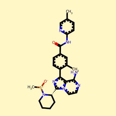 Cc1ccc(NC(=O)c2ccc(-c3nc([C@@H]4CCCCN4[S+](C)[O-])n4ccnc(N)c34)c(C)c2)nc1